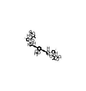 COC(=O)N[C@H](C(=O)N1C[C@@H](C)C[C@H]1c1ncc(C#Cc2ccc(C#Cc3cnc([C@@H]4C[C@H](C)CN4C(=O)[C@@H](NC(=O)OC)C(C)C)[nH]3)c3c2OC(F)(F)O3)[nH]1)C(C)C